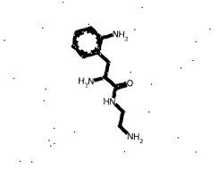 NCCNC(=O)C(N)Cc1ccccc1N